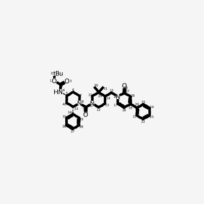 CC(C)(C)OC(=O)N[C@@H]1CCN(C(=O)N2CCC(Cn3ccc(-c4ccccc4)cc3=O)C(C)(C)C2)[C@H](c2ccccc2)C1